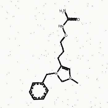 CN1C=C(CCCONC(N)=O)N(Cc2ccccc2)C1